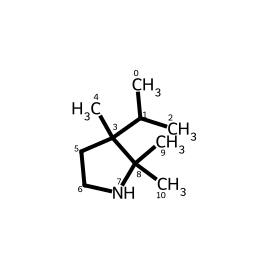 CC(C)C1(C)CCNC1(C)C